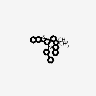 CC1(C)c2ccccc2-c2c1cc1ccccc1c2N(c1cccc(-c2ccccc2)c1)c1ccc2sc3cc4ccccc4cc3c2c1